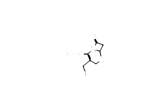 O=C(O)C1=C(CI)CSC2CC(=O)N12